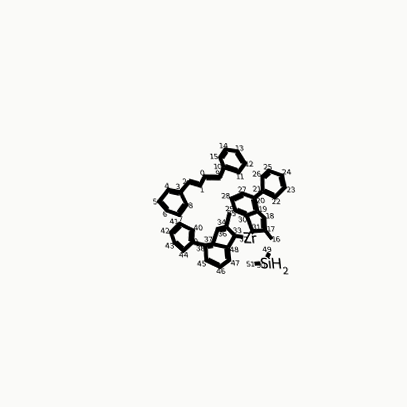 C(C=Cc1ccccc1)=Cc1ccccc1.CC1=Cc2c(-c3ccccc3)cccc2[CH]1[Zr][CH]1C(C)=Cc2c(-c3ccccc3)cccc21.C[SiH2]C